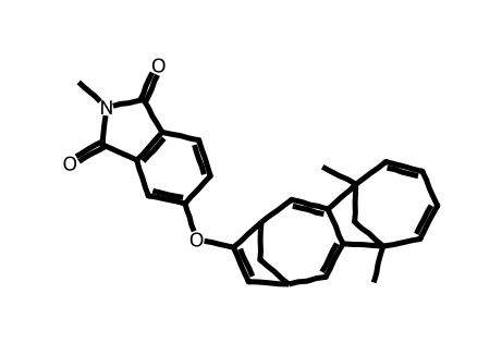 CN1C(=O)c2ccc(OC3=CC4C=C5C(=CC3C4)C3(C)C=CC=CC5(C)C3)cc2C1=O